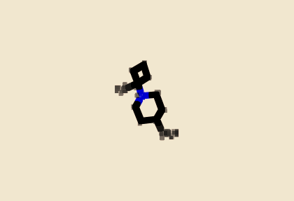 O=C(O)C1CCN(C2(C(F)(F)F)CCC2)CC1